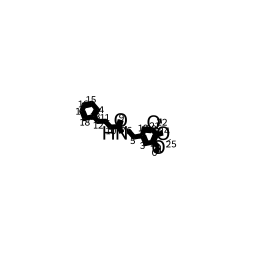 COc1cc(CCNC(=O)CCCc2ccccc2)cc(OC)c1OC